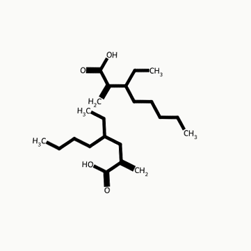 C=C(C(=O)O)C(CC)CCCCC.C=C(CC(CC)CCCC)C(=O)O